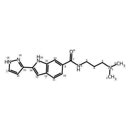 CN(C)CCCNC(=O)c1ccc2cc(-c3cc[nH]n3)[nH]c2c1